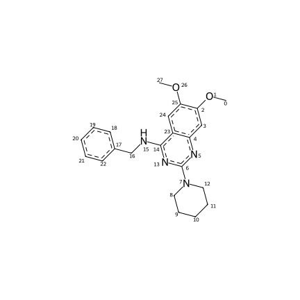 COc1cc2nc(N3CCCCC3)nc(NCc3ccccc3)c2cc1OC